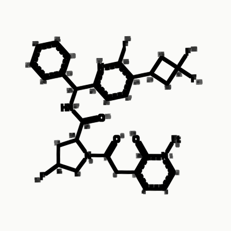 CCn1cccc(CC(=O)N2CC(F)CC2C(=O)NC(c2ccccc2)c2ccc(C3CC(F)(F)C3)c(F)n2)c1=O